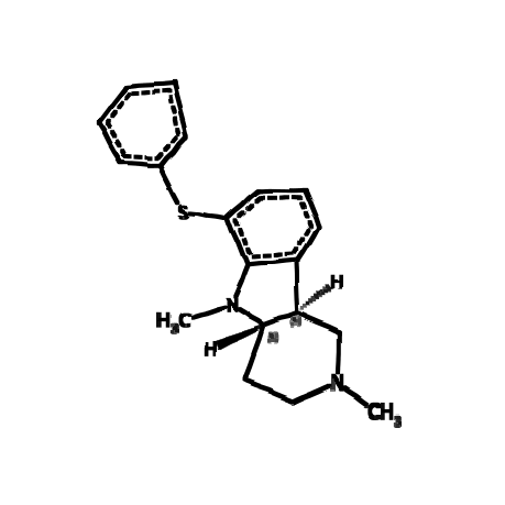 CN1CC[C@H]2[C@H](C1)c1cccc(Sc3ccccc3)c1N2C